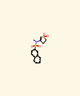 CN(C1=CS(=O)(=O)CC1)S(=O)(=O)c1ccc2ccccc2c1